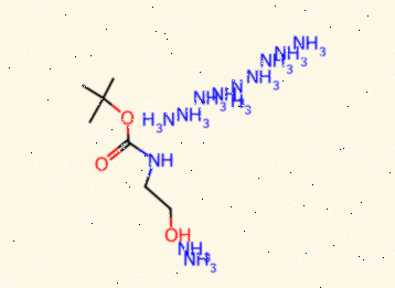 CC(C)(C)OC(=O)NCCO.N.N.N.N.N.N.N.N.N.N.N